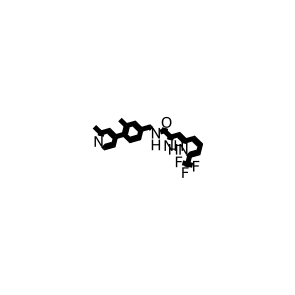 Cc1cc(-c2ccc(CNC(=O)C(=N)/C=C3/C=CC=C(C(F)(F)F)N3)cc2C)ccn1